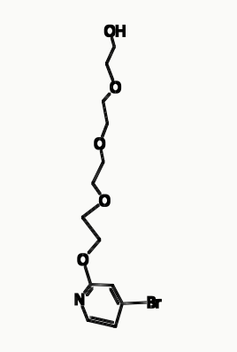 OCCOCCOCCOCCOc1cc(Br)ccn1